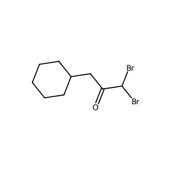 O=C(CC1CCCCC1)C(Br)Br